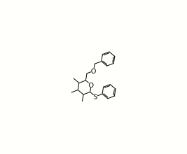 CC1C(COCc2ccccc2)OC(Sc2ccccc2)C(C)C1C